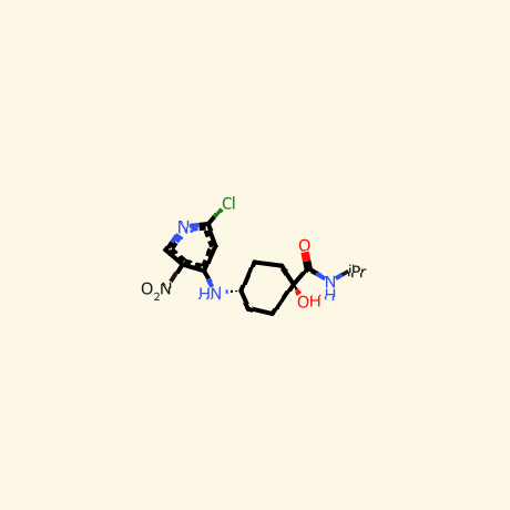 CC(C)NC(=O)[C@]1(O)CC[C@H](Nc2cc(Cl)ncc2[N+](=O)[O-])CC1